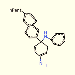 CCCCCc1ccc2cc(C3(Nc4ccccc4)C=CC(N)=CC3)ccc2c1